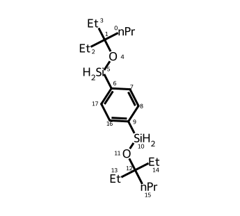 CCCC(CC)(CC)O[SiH2]c1ccc([SiH2]OC(CC)(CC)CCC)cc1